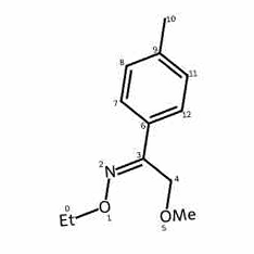 CCO/N=C(\COC)c1ccc(C)cc1